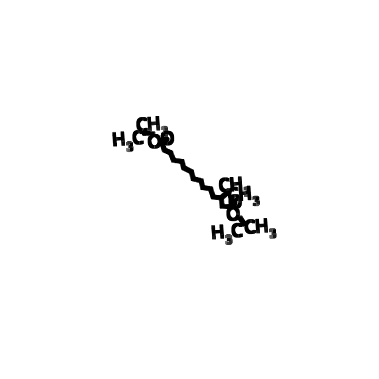 CC(C)COC(=O)CCCCCCCCCCCC(CC(=O)OCC(C)C)C(C)C